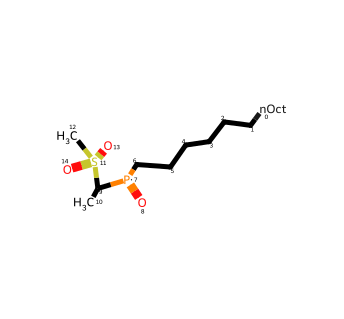 CCCCCCCCCCCCCC[P](=O)C(C)S(C)(=O)=O